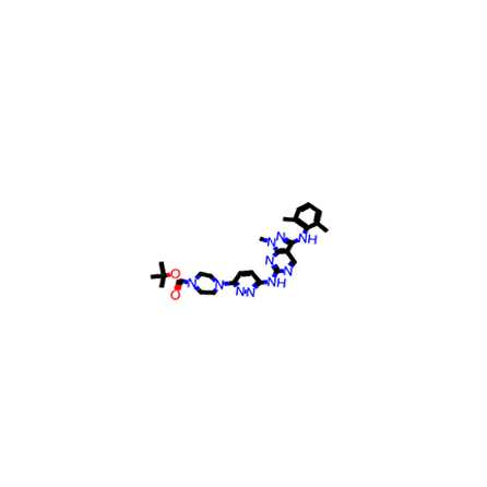 Cc1cccc(C)c1Nc1nn(C)c2nc(Nc3ccc(N4CCN(C(=O)OC(C)(C)C)CC4)nn3)ncc12